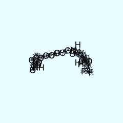 CN(CCOCCOCCOCCOCCOCCOc1cccc2c1C(=O)N(C1CCC(=O)NC1=O)C2=O)C(=O)c1cc2cc(N3CCC(O)(C(=O)NCc4cc(F)cc(F)c4)C3=O)ccc2[nH]1